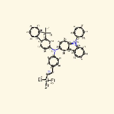 CC[Si](/C=C/c1ccc(N(c2ccc3c(c2)C(C)(C)c2ccccc2-3)c2ccc3c(c2)c2ccccc2n3-c2ccccc2)cc1)(CC)CC